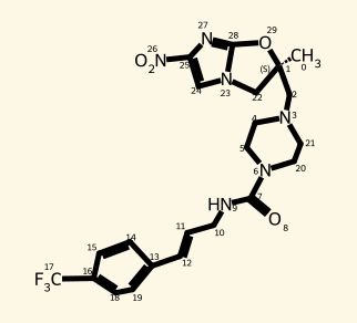 C[C@]1(CN2CCN(C(=O)NCC=Cc3ccc(C(F)(F)F)cc3)CC2)Cn2cc([N+](=O)[O-])nc2O1